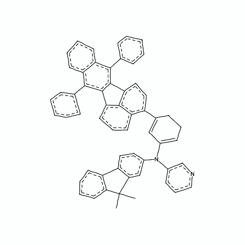 CC1(C)c2ccccc2-c2ccc(N(C3=CCCC(c4ccc5c6c(cccc46)-c4c-5c(-c5ccccc5)c5ccccc5c4-c4ccccc4)=C3)c3cccnc3)cc21